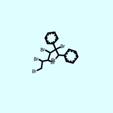 BrCC(Br)C(Br)C(Br)C(Br)(c1ccccc1)C(Br)c1ccccc1